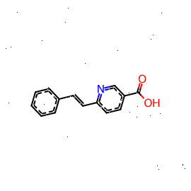 O=C(O)c1ccc(C=Cc2ccccc2)nc1